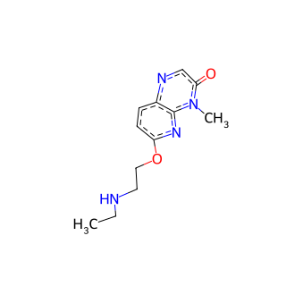 CCNCCOc1ccc2ncc(=O)n(C)c2n1